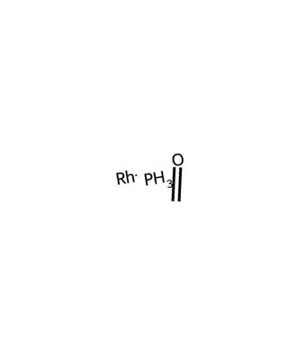 C=O.P.[Rh]